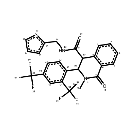 CN1C(=O)c2ccccc2C(C(=O)NCc2cccs2)C1c1ccc(C(F)(F)F)cc1C(F)(F)F